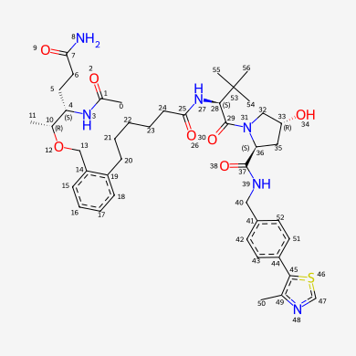 CC(=O)N[C@@H](CCC(N)=O)[C@@H](C)OCc1ccccc1CCCCCC(=O)N[C@H](C(=O)N1C[C@H](O)C[C@H]1C(=O)NCc1ccc(-c2scnc2C)cc1)C(C)(C)C